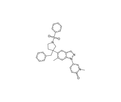 Cc1cc2c(cnn2-c2ccc(=O)n(C)c2)cc1C1(Cc2ccccc2)CCN(S(=O)(=O)c2ccccc2)C1